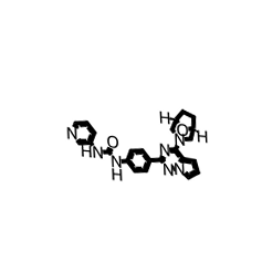 O=C(Nc1ccc(-c2nc(N3C[C@@H]4CC[C@@H](C3)O4)c3cccn3n2)cc1)Nc1cccnc1